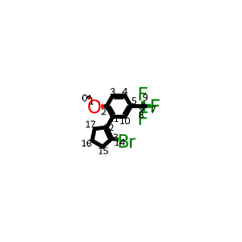 COc1ccc(C(F)(F)F)cc1C1=C(Br)CCC1